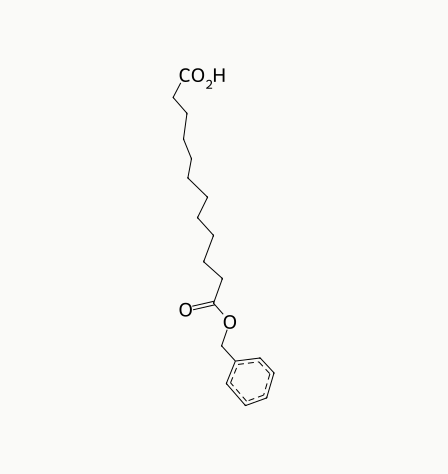 O=C(O)CCCCCCCCCCC(=O)OCc1ccccc1